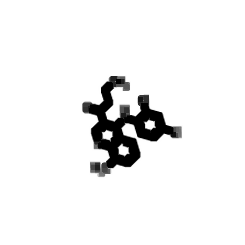 CCCC(=O)c1cnc2c(C)cccc2c1Nc1ccc(Cl)cc1Cl